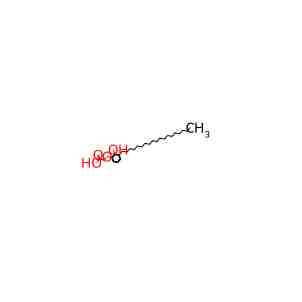 CCCCCCCCCCCCCCCCCCCc1cccc(OCC(=O)O)c1O